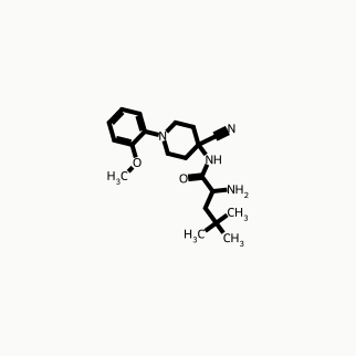 COc1ccccc1N1CCC(C#N)(NC(=O)C(N)CC(C)(C)C)CC1